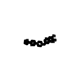 CCc1cc2ncc(CN3CCN(c4ccc(-n5cccn5)nc4)CC3)cc2[nH]c1=O